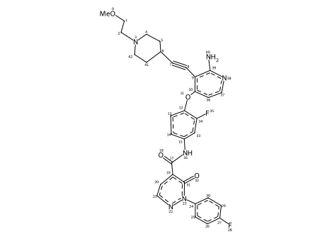 COCCN1CCC(C#Cc2c(Oc3ccc(NC(=O)c4ccnn(-c5ccc(F)cc5)c4=O)cc3F)ccnc2N)CC1